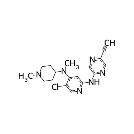 C#Cc1cnc(Nc2cc(N(C)C3CCN(C)CC3)c(Cl)cn2)cn1